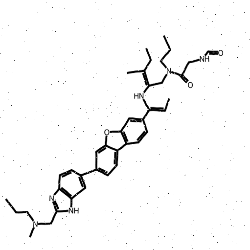 C/C=C(\N/C(CN(CCC)C(=O)CNC=O)=C(\C)CC)c1ccc2c(c1)oc1cc(-c3ccc4nc(CN(C)CCC)[nH]c4c3)ccc12